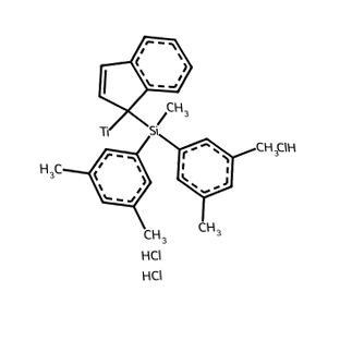 Cc1cc(C)cc([Si](C)(c2cc(C)cc(C)c2)[C]2([Ti])C=Cc3ccccc32)c1.Cl.Cl.Cl